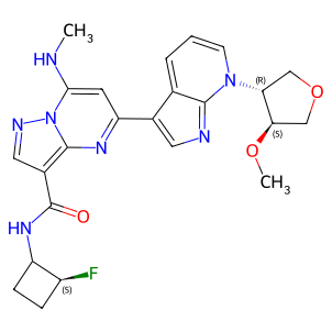 CNc1cc(-c2cnc3n([C@@H]4COC[C@H]4OC)cccc2-3)nc2c(C(=O)NC3CC[C@@H]3F)cnn12